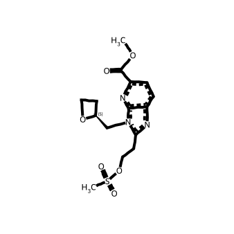 COC(=O)c1ccc2nc(CCOS(C)(=O)=O)n(C[C@@H]3CCO3)c2n1